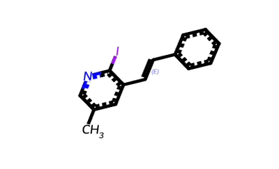 Cc1cnc(I)c(/C=C/c2ccccc2)c1